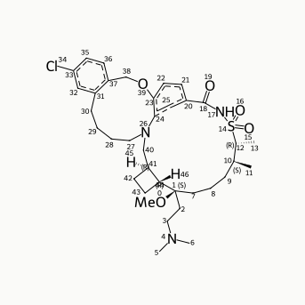 CO[C@]1(CCN(C)C)CCC[C@H](C)[C@@H](C)S(=O)(=O)NC(=O)c2ccc3c(c2)N(CCCCc2cc(Cl)ccc2CO3)C[C@@H]2CC[C@H]21